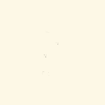 CC(C)Cc1nccc(C(F)(F)F)n1